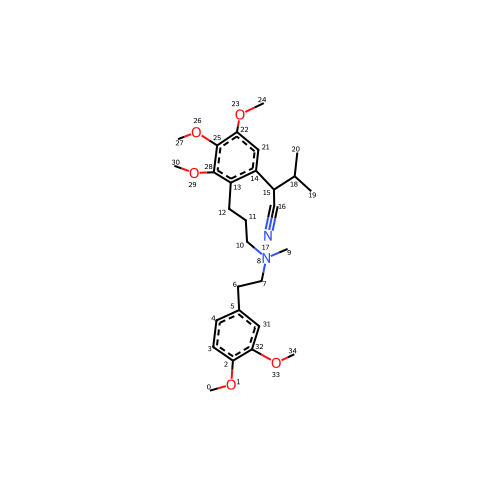 COc1ccc(CCN(C)CCCc2c(C(C#N)C(C)C)cc(OC)c(OC)c2OC)cc1OC